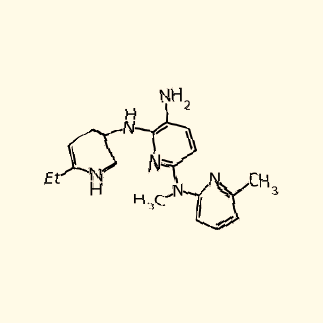 CCC1=CCC(Nc2nc(N(C)c3cccc(C)n3)ccc2N)CN1